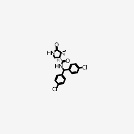 C[C@@H]1C(=O)NC[C@H]1C(=O)NC(c1ccc(Cl)cc1)c1ccc(Cl)cc1